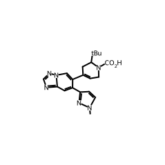 Cn1ccc(-c2cc3ncnn3cc2C2=CCN(C(=O)O)C(C(C)(C)C)C2)n1